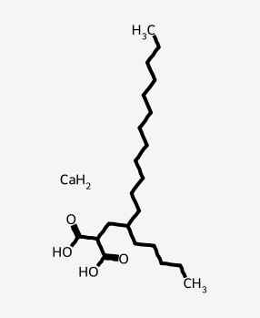 CCCCCCCCCCCCC(CCCCC)CC(C(=O)O)C(=O)O.[CaH2]